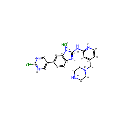 Cl.Clc1ncc(-c2ccc3nc(Nc4cc(CN5CCNCC5)ccn4)[nH]c3c2)cn1